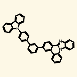 c1cc(-c2ccc(-n3c4ccccc4c4ccccc43)cc2)cc(-c2ccc3c(c2)c2ccccc2n2c4ccccc4nc32)c1